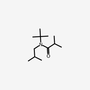 CC(C)CN(C(=O)C(C)C)C(C)(C)C